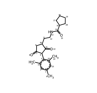 Cc1cc(C)c(C2C(=O)CC(CCNC(=O)C3CCCC3)C2=O)c(C)c1